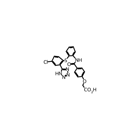 O=C(O)COc1ccc(C(=O)Nc2ccccc2Sc2ccc(Cl)cc2-c2nnn[nH]2)cc1